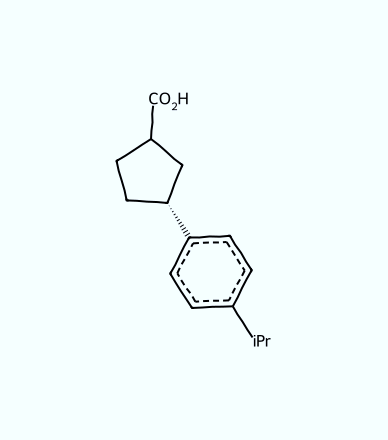 CC(C)c1ccc([C@@H]2CCC(C(=O)O)C2)cc1